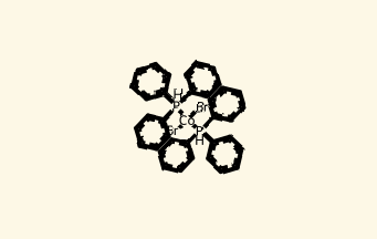 [Br][Co]([Br])([PH](c1ccccc1)(c1ccccc1)c1ccccc1)[PH](c1ccccc1)(c1ccccc1)c1ccccc1